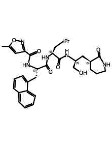 Cc1cc(C(=O)N[C@@H](Cc2cccc3ccccc23)C(=O)N[C@@H](CC(C)C)C(=O)N[C@H](CO)C[C@@H]2CCCNC2=O)no1